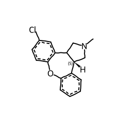 CN1CC2c3cc(Cl)ccc3Oc3ccccc3[C@H]2C1